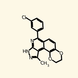 Cc1n[nH]c2nc(-c3cccc(Cl)c3)c3ccc4c(c3c12)OCCO4